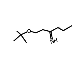 CC[CH]C(=N)CCOC(C)(C)C